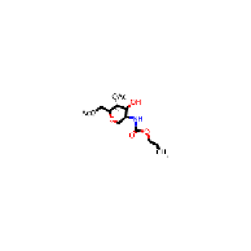 C=CCOC(=O)NC1COC(COC(C)=O)[C@H](OC(C)=O)C1O